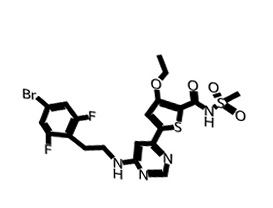 CCOc1cc(-c2cc(NCCc3c(F)cc(Br)cc3F)ncn2)sc1C(=O)NS(C)(=O)=O